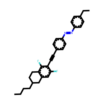 CCCCC1CCc2c(cc(F)c(C#Cc3ccc(N=Nc4ccc(CC)cc4)cc3)c2F)C1